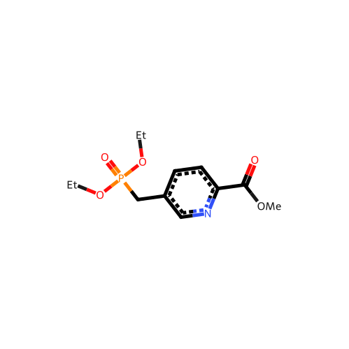 CCOP(=O)(Cc1ccc(C(=O)OC)nc1)OCC